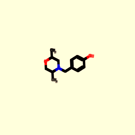 CC1CN(Cc2ccc(O)cc2)C(C)CO1